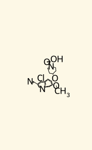 COc1cc2ncc(C#N)c(Cl)c2cc1OC1CCN(C(=O)O)CC1